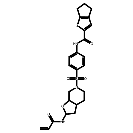 C=CC(=O)NC1CC2CCN(S(=O)(=O)c3ccc(NC(=O)c4cc5c(s4)CCC5)cc3)CC2O1